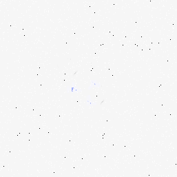 C/C(Cl)=C\c1cc(C)nc(Nc2ccccc2)n1